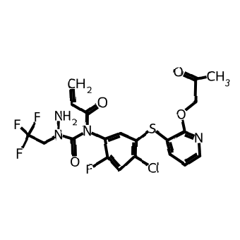 C=CC(=O)N(C(=O)N(N)CC(F)(F)F)c1cc(Sc2cccnc2OCC(C)=O)c(Cl)cc1F